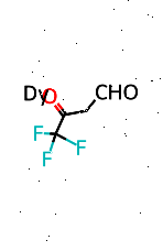 O=CCC(=O)C(F)(F)F.[Dy]